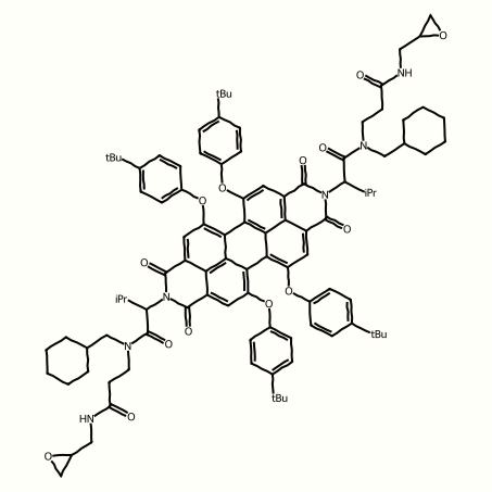 CC(C)C(C(=O)N(CCC(=O)NCC1CO1)CC1CCCCC1)N1C(=O)c2cc(Oc3ccc(C(C)(C)C)cc3)c3c4c(Oc5ccc(C(C)(C)C)cc5)cc5c6c(cc(Oc7ccc(C(C)(C)C)cc7)c(c7c(Oc8ccc(C(C)(C)C)cc8)cc(c2c37)C1=O)c64)C(=O)N(C(C(=O)N(CCC(=O)NCC1CO1)CC1CCCCC1)C(C)C)C5=O